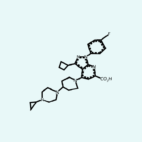 O=C(O)c1cc(N2CCC(N3CCN(C4CC4)CC3)CC2)c2c(C3CCC3)nn(-c3ccc(F)cc3)c2n1